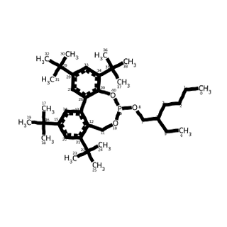 CCCCC(CC)COP1OCc2c(cc(C(C)(C)C)cc2C(C)(C)C)-c2cc(C(C)(C)C)cc(C(C)(C)C)c2O1